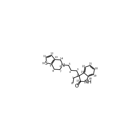 CCC1(CCCN2CCc3sccc3C2)C(=O)Nc2ccccc21